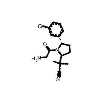 CC(C)(C#N)C1CC[C@@H](c2cccc(Cl)c2)N1C(=O)CN